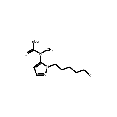 CCCCC(=O)N(C)c1ccnn1CCCCCCl